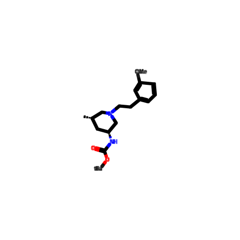 COc1cccc(CCN2C[C@@H](C)C[C@@H](NC(=O)OC(C)(C)C)C2)c1